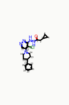 O=C(CC1CC1)NNc1nncc(N2CCC(c3ccccc3)CC2)c1Cl